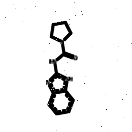 O=C(Nc1nc2ccccc2[nH]1)N1CCCC1